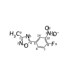 Cc1noc(-c2ccc(F)c([N+](=O)[O-])c2)n1